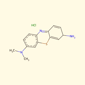 CN(C)c1ccc2c(c1)SC1=CC(N)C=CC1=N2.Cl